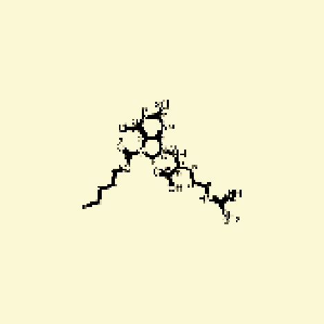 CCCCCOC(=O)N1CN(N[C@@H](CCCNC(=N)N)C(=O)O)c2nc(Cl)nc(Cl)c21